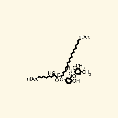 CC1CC(OC(=O)c2ccccc2O)CC(C)(C)C1.CCCCCCCCCCCCCCCCCCCCCCCCCCCC(O)OC(=O)C(O)CCCCCCCCCCCCCCCC